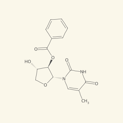 Cc1cn([C@@H]2OC[C@H](O)[C@H]2OC(=O)c2ccccc2)c(=O)[nH]c1=O